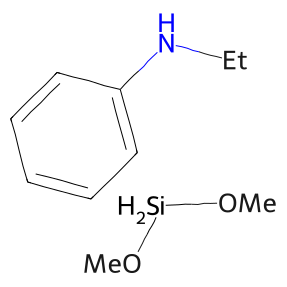 CCNc1ccccc1.CO[SiH2]OC